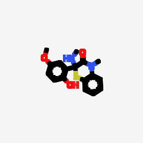 CNC1(c2cc(OC)ccc2O)Sc2ccccc2N(C)C1=O